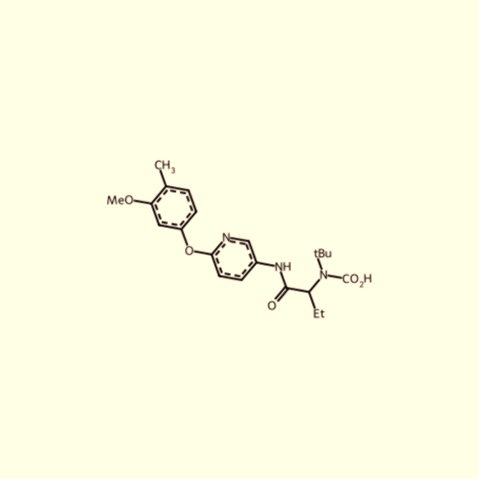 CCC(C(=O)Nc1ccc(Oc2ccc(C)c(OC)c2)nc1)N(C(=O)O)C(C)(C)C